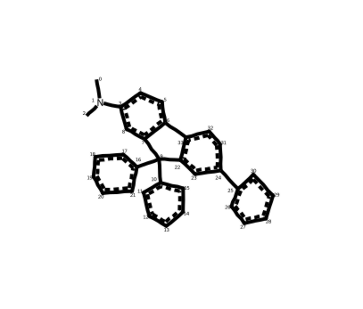 CN(C)c1ccc2c(c1)C(c1ccccc1)(c1ccccc1)c1cc(-c3ccccc3)ccc1-2